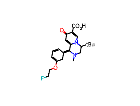 CN1CC(C(C)(C)C)n2cc(C(=O)O)c(=O)cc2/C1=C1\C=CC=C(OCCF)C1